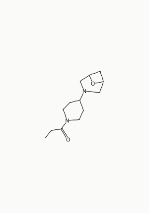 CCC(=O)N1CCC(N2CC3CC(C2)O3)CC1